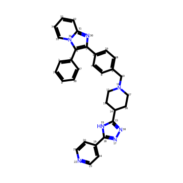 c1ccc(-c2c(-c3ccc(CN4CCC(c5nnc(-c6ccncc6)[nH]5)CC4)cc3)nc3ccccn23)cc1